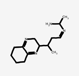 CC(N)/N=C\CC(C)C1CN=C2CCCCC2=N1